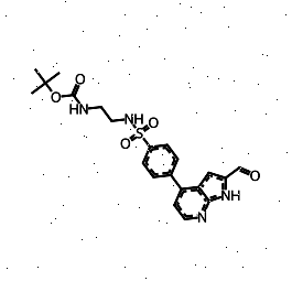 CC(C)(C)OC(=O)NCCNS(=O)(=O)c1ccc(-c2ccnc3[nH]c(C=O)cc23)cc1